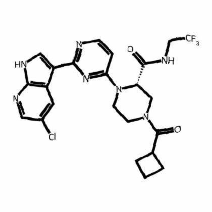 O=C(NCC(F)(F)F)[C@@H]1CN(C(=O)C2CCC2)CCN1c1ccnc(-c2c[nH]c3ncc(Cl)cc23)n1